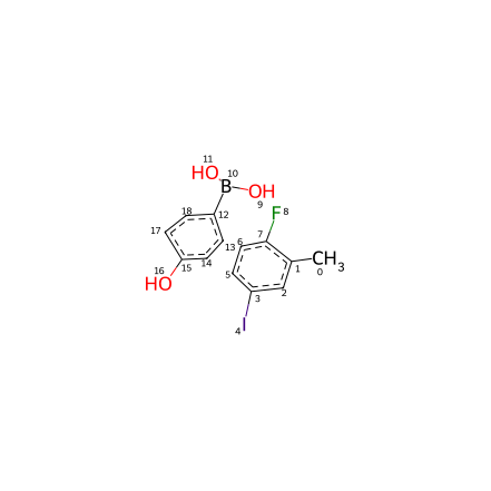 Cc1cc(I)ccc1F.OB(O)c1ccc(O)cc1